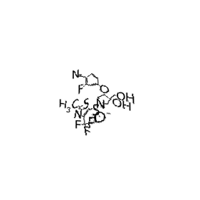 Cc1nc(C(F)(F)F)c([S+]([O-])N2C[C@H](Oc3ccc(C#N)c(F)c3)C(O)(CO)C2)s1